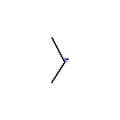 C[CH]c1nc(CCCCCCCCCCCCCCCCCCCC)cc(CCCCCCCCCCCCCCCCCCCC)n1